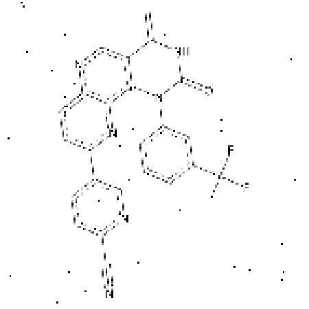 C=C1NC(=O)N(c2cccc(C(F)(F)F)c2)c2c1cnc1ccc(-c3ccc(C#N)nc3)nc21